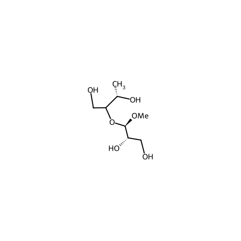 CO[C@H](OC(CO)[C@H](C)O)[C@@H](O)CO